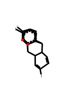 IC1=CC2C3c4cc(I)ccc4C(c4ccc(I)cc43)C2C=C1